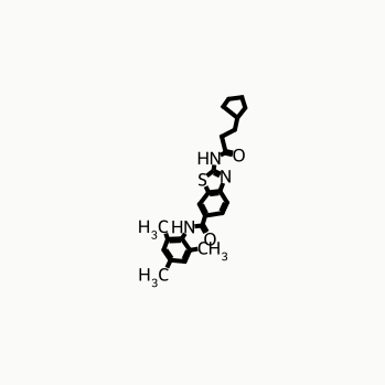 Cc1cc(C)c(NC(=O)c2ccc3nc(NC(=O)CCC4CCCC4)sc3c2)c(C)c1